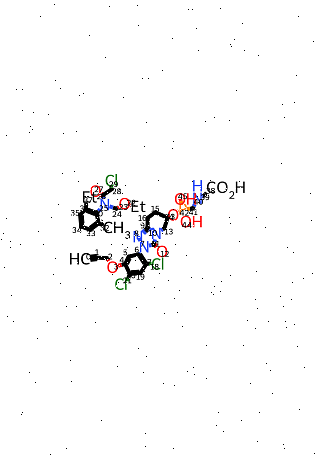 C#CCOc1cc(-n2nc3n(c2=O)CCCC3)c(Cl)cc1Cl.CCOCN(C(=O)CCl)c1c(C)cccc1CC.O=C(O)CNCP(=O)(O)O